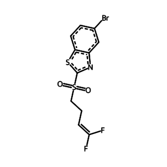 O=S(=O)(CCC=C(F)F)c1nc2cc(Br)ccc2s1